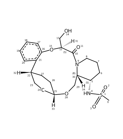 CS(=O)(=O)N[C@H]1CCCN2C(=O)[C@H](CO)Oc3ccccc3[C@H]3CC[C@H](CC3)OC[C@@H]12